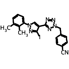 Cc1cccc(-n2cc(-c3nnn(Cc4ccc(C#N)cc4)n3)c(I)n2)c1C